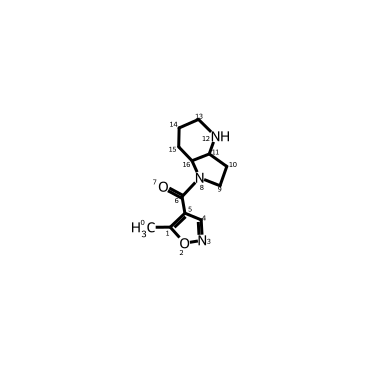 Cc1oncc1C(=O)N1CCC2NCCCC21